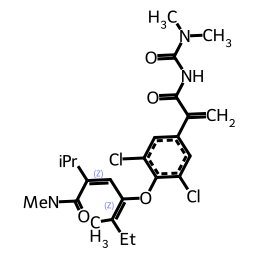 C=C(C(=O)NC(=O)N(C)C)c1cc(Cl)c(OC(/C=C(\C(=O)NC)C(C)C)=C(/C)CC)c(Cl)c1